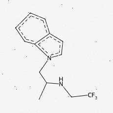 CC(Cn1ccc2ccccc21)NCC(F)(F)F